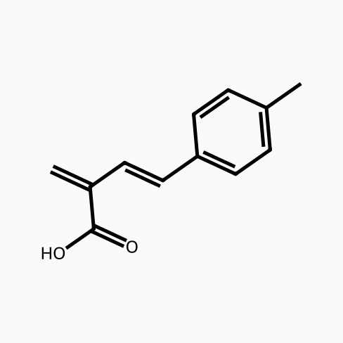 C=C(C=Cc1ccc(C)cc1)C(=O)O